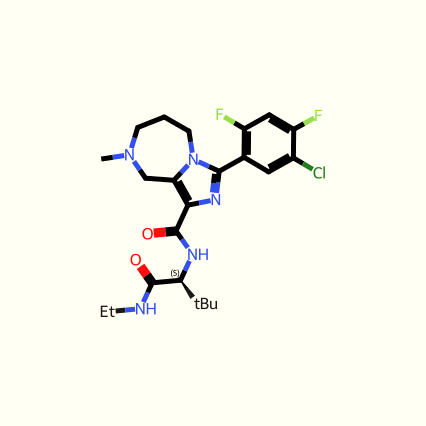 CCNC(=O)[C@@H](NC(=O)c1nc(-c2cc(Cl)c(F)cc2F)n2c1CN(C)CCC2)C(C)(C)C